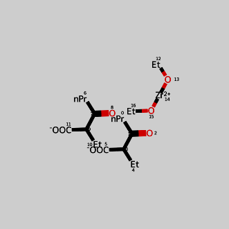 CCCC(=O)C(CC)C(=O)[O-].CCCC(=O)C(CC)C(=O)[O-].CC[O][Zr+2][O]CC